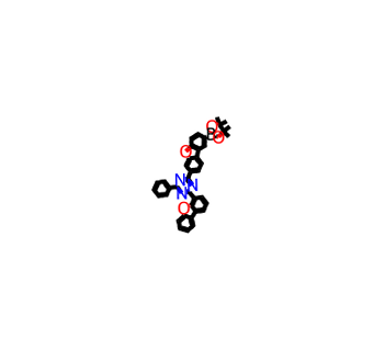 CC1(C)OB(c2ccc3oc4cc(-c5nc(-c6ccccc6)nc(-c6cccc7c6oc6ccccc67)n5)ccc4c3c2)OC1(C)C